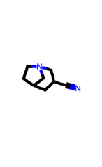 N#CC1CC2CCN(C1)C2